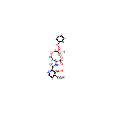 COc1ccnc(C(=O)N[C@H]2CCOC[C@@H](OCc3ccccc3)[C@H](C)OC2=O)c1O